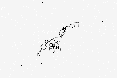 CN(C)C(=O)N(CCOc1ccc(C#N)cc1)CCN1CC2CN(CCCc3ccccc3)CC(C1)O2